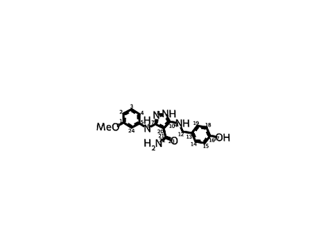 COc1cccc(Nc2n[nH]c(NCc3ccc(O)cc3)c2C(N)=O)c1